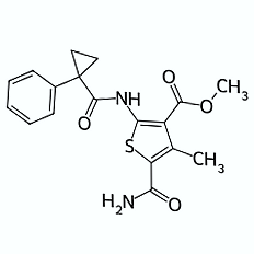 COC(=O)c1c(NC(=O)C2(c3ccccc3)CC2)sc(C(N)=O)c1C